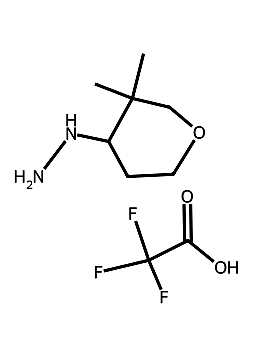 CC1(C)COCCC1NN.O=C(O)C(F)(F)F